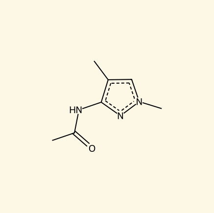 CC(=O)Nc1nn(C)cc1C